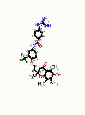 Cc1c(C)c2c(c(C)c1O)C(=O)CC(C)(CCOc1ccc(NC(=O)c3ccc(NC(=N)N)cc3)cc1C(F)(F)F)O2